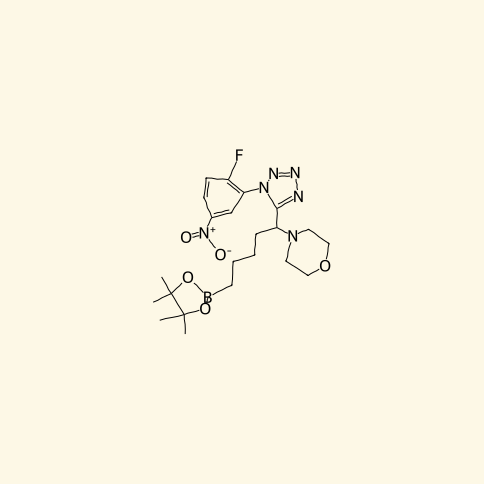 CC1(C)OB(CCCCC(c2nnnn2-c2cc([N+](=O)[O-])ccc2F)N2CCOCC2)OC1(C)C